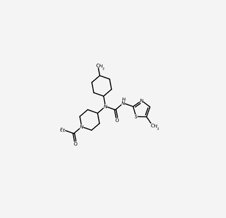 CCC(=O)N1CCC(N(C(=O)Nc2ncc(C)s2)C2CCC(C)CC2)CC1